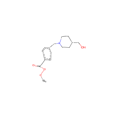 CC(C)(C)OOC(=O)c1ccc(CN2CCC(CO)CC2)cc1